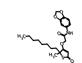 CCCCCCCCC1(C)SC(=O)C=C1OCC(=O)Nc1ccc2c(c1)OCO2